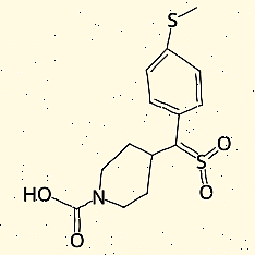 CSc1ccc(C(C2CCN(C(=O)O)CC2)=S(=O)=O)cc1